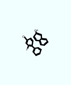 Fc1cc(Cl)ccc1-c1ccccc1.Oc1ccc2ccccc2c1